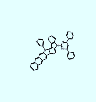 C1=Cc2c(c3c(ccc4c5cc6cc7ccccc7cc6cc5n(-c5cccnc5)c43)n2-c2nc(-c3ccccc3)cc(-c3ccccc3)n2)CC1